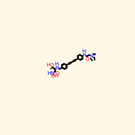 CC[N+](CC)(CC)CC(=O)Nc1ccc(C#CC#Cc2ccc(CN[C@H](C(=O)NO)[C@@H](C)O)cc2)cc1